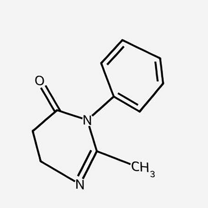 CC1=NCCC(=O)N1c1ccccc1